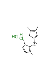 CC1=C(C)C[C]([Zr][C]2=C(C)C=CC2C)=C1.Cl.Cl